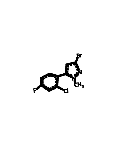 Cn1nc(Br)cc1-c1ccc(F)cc1Cl